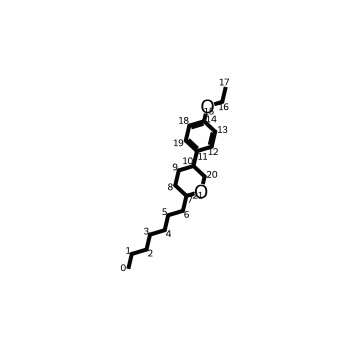 CCCCCCCC1CCC(c2ccc(OCC)cc2)CO1